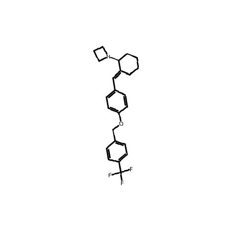 FC(F)(F)c1ccc(COc2ccc(C=C3CCCCC3N3CCC3)cc2)cc1